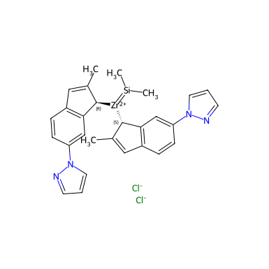 CC1=Cc2ccc(-n3cccn3)cc2[C@@H]1[Zr+2]([C@H]1C(C)=Cc2ccc(-n3cccn3)cc21)=[Si](C)C.[Cl-].[Cl-]